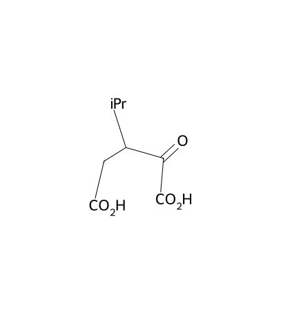 [CH2]C(C)C(CC(=O)O)C(=O)C(=O)O